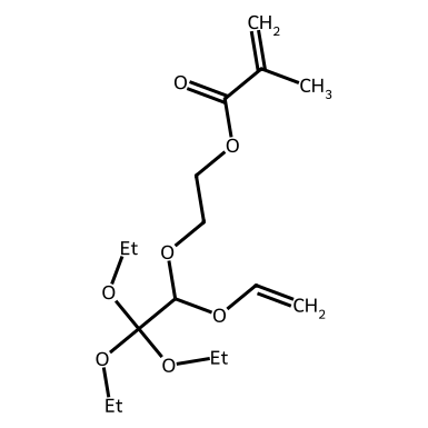 C=COC(OCCOC(=O)C(=C)C)C(OCC)(OCC)OCC